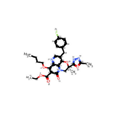 CCCCOc1c(C(=O)OCC)c(=O)n2c3c(c(Cc4ccc(F)cc4)cnc13)O[C@@](C)(c1nnc(C)o1)C2